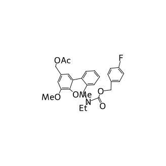 CCN(Cc1ccccc1-c1cc(COC(C)=O)cc(OC)c1OC)C(=O)OCc1ccc(F)cc1